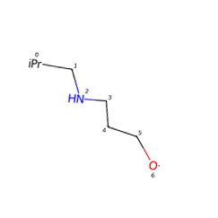 CC(C)CNCCC[O]